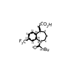 CCCCC(=O)N1CCC/C(=C\C(=O)O)c2ccc(C(F)(F)F)cc21